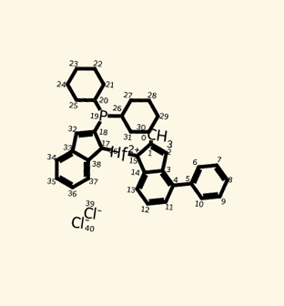 CC1=Cc2c(-c3ccccc3)cccc2[CH]1[Hf+2][CH]1C(P(C2CCCCC2)C2CCCCC2)=Cc2ccccc21.[Cl-].[Cl-]